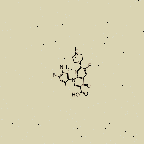 Cc1cc(F)c(N)cc1-n1cc(C(=O)O)c(=O)c2cc(F)c(N3CCNCC3)nc21